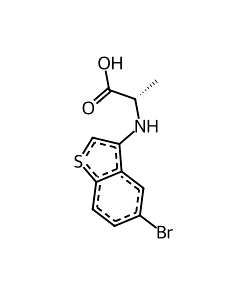 C[C@H](Nc1csc2ccc(Br)cc12)C(=O)O